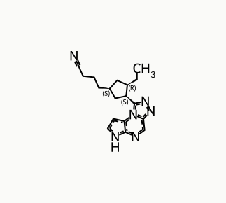 CC[C@@H]1C[C@H](CCCC#N)C[C@@H]1c1nnc2cnc3[nH]ccc3n12